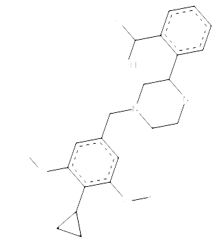 COc1cc(CN2CCNC(c3ccccc3C(C)C)C2)cc(OC)c1C1CC1